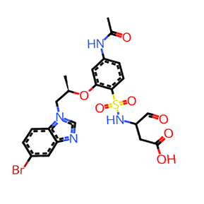 CC(=O)Nc1ccc(S(=O)(=O)NC(C=O)CC(=O)O)c(O[C@H](C)Cn2cnc3cc(Br)ccc32)c1